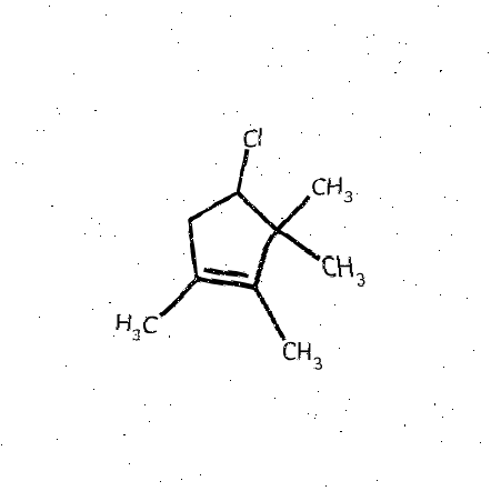 CC1=C(C)C(C)(C)C(Cl)C1